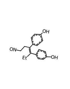 CCC(=C(CCN=O)c1ccc(O)cc1)c1ccc(O)cc1